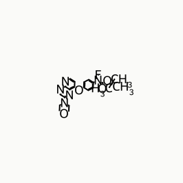 CC(C)(C)OC(=O)N(F)c1ccc(Oc2ccnc3ncc(N4CCOCC4)nc23)cc1